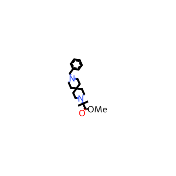 COC(=O)C(C)(C)N1CCC2(CCN(Cc3ccccc3)CC2)CC1